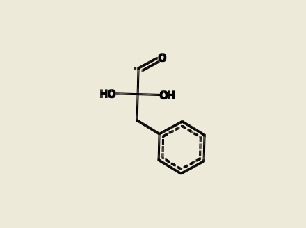 O=[C]C(O)(O)Cc1ccccc1